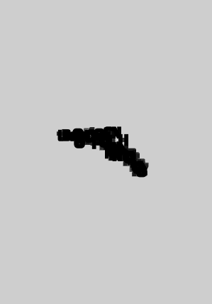 CC(C)(C)OC(=O)N1CC[C@H](Oc2ccc(-c3ncnc(Nc4ccc(C5CCOCC5)cc4)n3)cc2C#N)C(F)C1